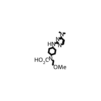 COCCN(C(=O)O)[C@H]1CC[C@@H](Nc2nccc(N(C)C)n2)CC1